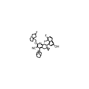 N#Cc1c(OC[C@@]23CCCN2C[C@H](F)C3)nc2c(c1N1CC3CCC(C1)N3)CC1(CC1)N(c1cc(O)cc3ccc(F)c(F)c13)C2